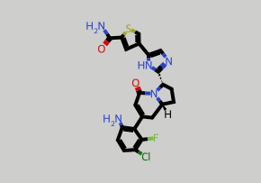 NC(=O)c1cc(-c2cnc([C@@H]3CC[C@@H]4CC(c5c(N)ccc(Cl)c5F)=CC(=O)N43)[nH]2)cs1